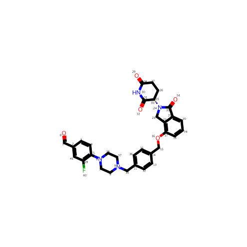 O=Cc1ccc(N2CCN(Cc3ccc(COc4cccc5c4CN([C@H]4CCC(=O)NC4=O)C5=O)cc3)CC2)c(F)c1